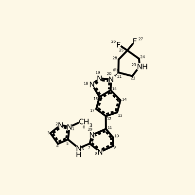 Cn1nccc1Nc1nccc(-c2ccc3c(c2)nnn3[C@H]2CNCC(F)(F)C2)n1